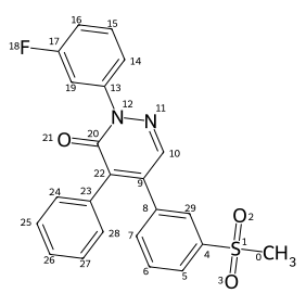 CS(=O)(=O)c1cccc(-c2cnn(-c3cccc(F)c3)c(=O)c2-c2ccccc2)c1